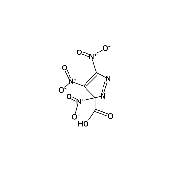 O=C(O)C1([N+](=O)[O-])N=NC([N+](=O)[O-])=C1[N+](=O)[O-]